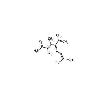 C=C(C)C(=N\C=C(C)C)/C(N)=C(\C)C(N)=O